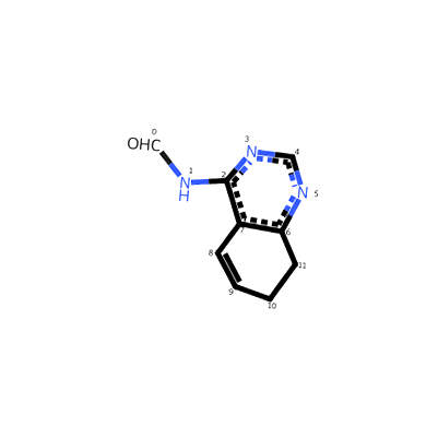 O=CNc1ncnc2c1C=CCC2